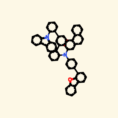 c1cc(-c2ccccc2N(c2ccc(-c3cccc4c3oc3ccccc34)cc2)c2ccc3c(ccc4ccccc43)c2)cc(-c2ccccc2-n2c3ccccc3c3ccccc32)c1